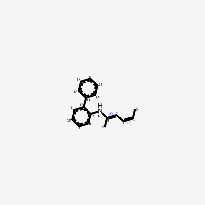 C/C=C\C=C(/C)Nc1ccccc1-c1ccccc1